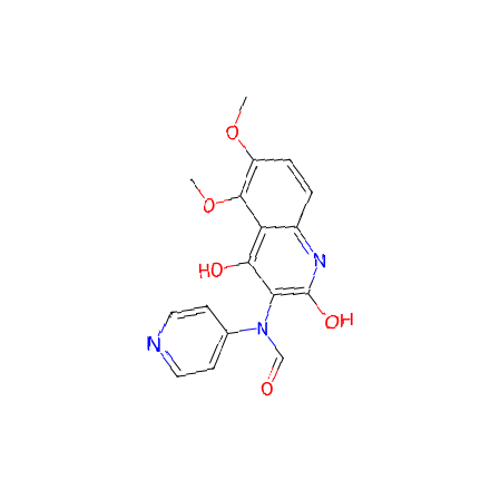 COc1ccc2nc(O)c(N(C=O)c3ccncc3)c(O)c2c1OC